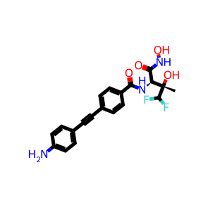 C[C@@](O)(C(F)F)[C@H](NC(=O)c1ccc(C#Cc2ccc(N)cc2)cc1)C(=O)NO